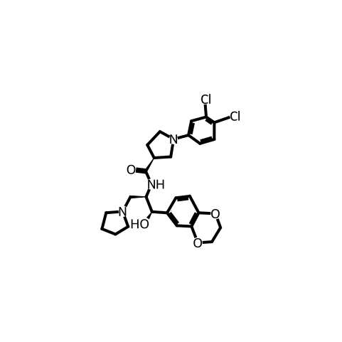 O=C(N[C@H](CN1CCCC1)[C@H](O)c1ccc2c(c1)OCCO2)[C@H]1CCN(c2ccc(Cl)c(Cl)c2)C1